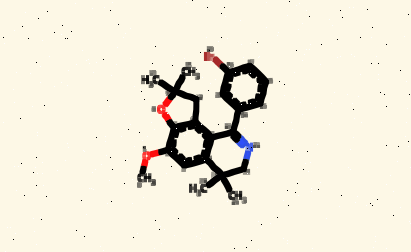 COc1cc2c(c3c1OC(C)(C)C3)C(c1cccc(Br)c1)=NCC2(C)C